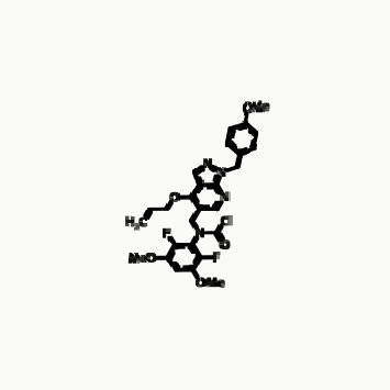 C=CCOc1c(CN(C(=O)Cl)c2c(F)c(OC)cc(OC)c2F)cnc2c1cnn2Cc1ccc(OC)cc1